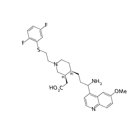 COc1ccc2nccc(C(N)CC[C@@H]3CCN(CCSc4cc(F)ccc4F)C[C@@H]3CC(=O)O)c2c1